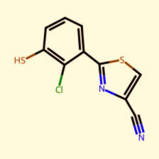 N#Cc1csc(-c2cccc(S)c2Cl)n1